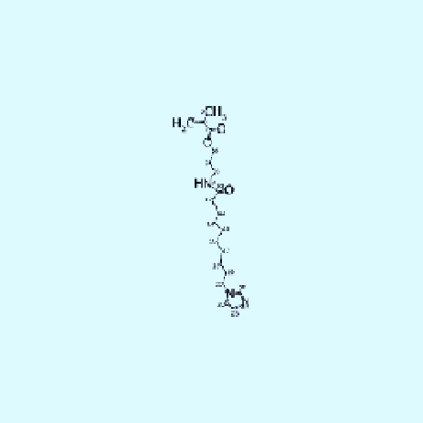 C=C(C)C(=O)OCCCNC(=O)CCCCCCCCCn1ccnc1